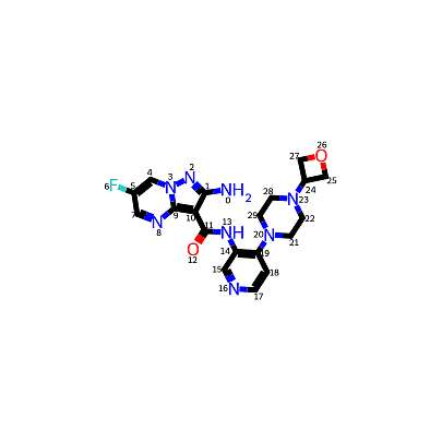 Nc1nn2cc(F)cnc2c1C(=O)Nc1cnccc1N1CCN(C2COC2)CC1